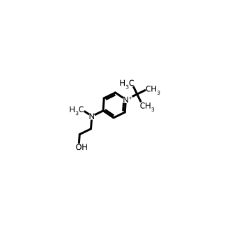 CN(CCO)c1cc[n+](C(C)(C)C)cc1